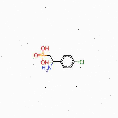 NC(CP(=O)(O)O)c1ccc(Cl)cc1